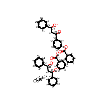 O=C([O-])c1ccccc1.O=C([O-])c1ccccc1.[Ca+2].[Ca+2].[Ca+2].[O-]C(CC([O-])c1ccccc1)c1ccccc1.[O-]C(CC([O-])c1ccccc1)c1ccccc1